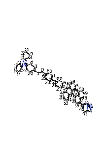 C(=C\c1ccc(N(c2ccccc2)c2ccccc2)cc1)/c1ccc(-c2ccc(-c3c4ccccc4c(-c4ccc(-c5cccnc5)c5ccccc45)c4ccccc34)cc2)cc1